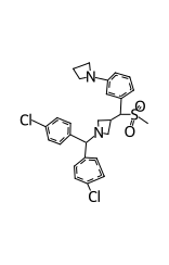 CS(=O)(=O)C(c1cccc(N2CCC2)c1)C1CN(C(c2ccc(Cl)cc2)c2ccc(Cl)cc2)C1